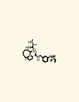 C=CS(=O)(=O)Nc1cccc(CNC(=O)[C@@H]2CC[C@@H]3CCCC[C@H](NC(=O)[C@H](C)NC)C(=O)N32)c1